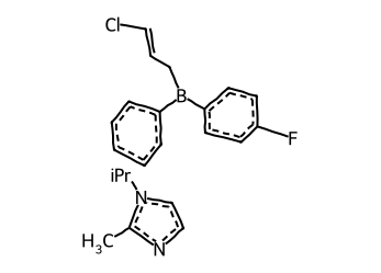 Cc1nccn1C(C)C.Fc1ccc(B(CC=CCl)c2ccccc2)cc1